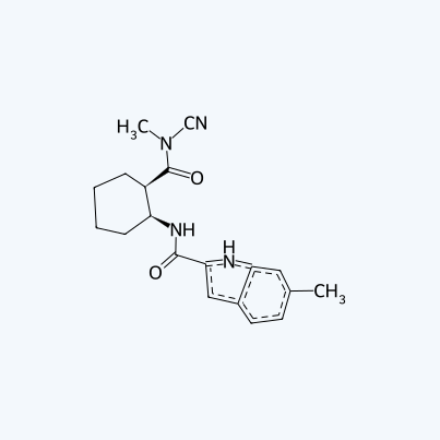 Cc1ccc2cc(C(=O)N[C@H]3CCCC[C@H]3C(=O)N(C)C#N)[nH]c2c1